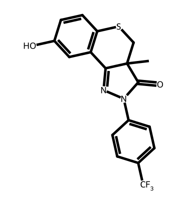 CC12CSc3ccc(O)cc3C1=NN(c1ccc(C(F)(F)F)cc1)C2=O